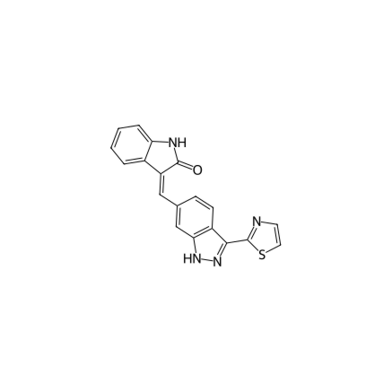 O=C1Nc2ccccc2C1=Cc1ccc2c(-c3nccs3)n[nH]c2c1